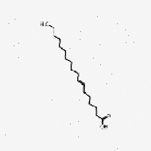 CCCCCCCCCCC=CCC=CCCC(=O)O